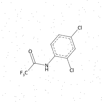 O=C(Nc1ccc(Cl)cc1Cl)C(F)(F)F